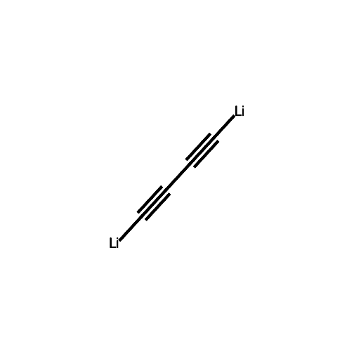 [Li][C]#CC#[C][Li]